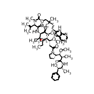 C=C(C)[C@@H](C(=O)N[C@H](C(=O)N(C)[C@@H]([C@@H](C)CC)[C@@H](CC(=O)N1CCC[C@H]1[C@H](OC)[C@@H](C)C(=O)N[C@H](C)[C@@H](O)c1ccccc1)OC)C(C)C)N(C)C(=O)OCC(C)(C)SSc1nc2cncnc2[nH]1